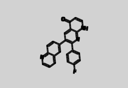 O=c1cc[nH]c2nc(-c3ccc(F)cc3)c(-c3ccc4ncccc4c3)cc12